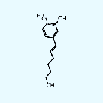 CCCCCC=Cc1ccc(C)c(O)c1